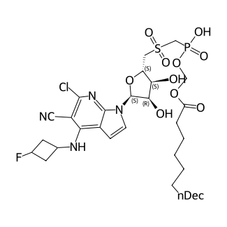 CCCCCCCCCCCCCCCC(=O)OCOP(=O)(O)CS(=O)(=O)C[C@H]1O[C@H](n2ccc3c(NC4CC(F)C4)c(C#N)c(Cl)nc32)[C@H](O)[C@@H]1O